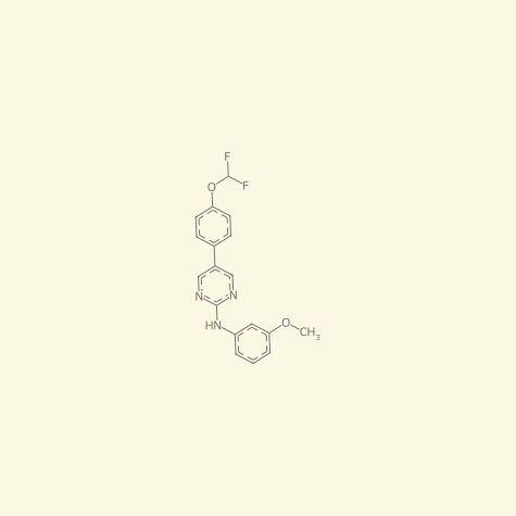 COc1cccc(Nc2ncc(-c3ccc(OC(F)F)cc3)cn2)c1